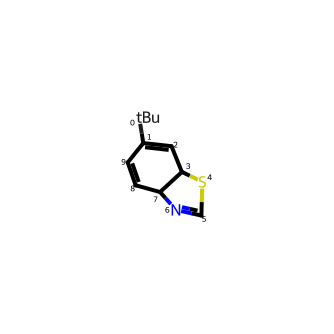 CC(C)(C)C1=CC2SC=NC2C=C1